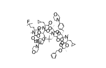 C[C@@H](OC(=O)[C@H](CC1CC1)N(C)C(=O)[C@@H](Cc1ccc(N2CCOCC2)cc1)OC(=O)[C@H](CC(C)(C)F)N(C)C(=O)[C@@H](C)OC(=O)[C@H](CC1CC1)N(C)C(=O)[C@@H](Cc1ccc(N2CCOCC2)cc1)OC(=O)[C@H](CCC(C)(C)F)N(C)C(=O)OC(C)(C)C)C(=O)OCc1ccccc1